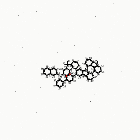 CC1(C)C2=C(CCC=C2)c2ccc(N(c3ccc4ccccc4c3)c3ccccc3-c3ccc(-c4ccc5c(c4)c4ccccc4n5-c4cccc5oc6ccccc6c45)cc3)cc21